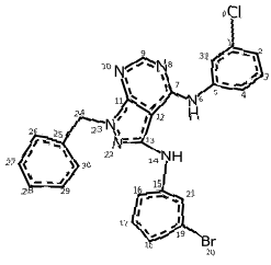 Clc1cccc(Nc2ncnc3c2c(Nc2cccc(Br)c2)nn3Cc2ccccc2)c1